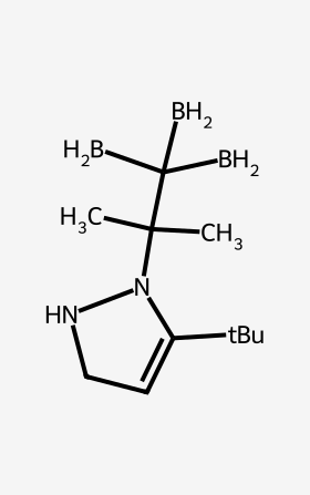 BC(B)(B)C(C)(C)N1NCC=C1C(C)(C)C